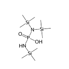 C[Si](C)(C)NP(=O)(O)N([Si](C)(C)C)[Si](C)(C)C